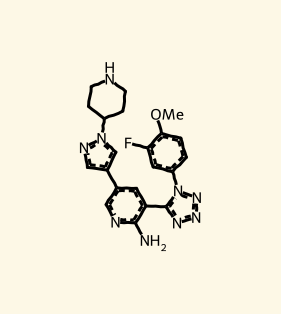 COc1ccc(-n2nnnc2-c2cc(-c3cnn(C4CCNCC4)c3)cnc2N)cc1F